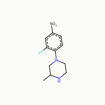 CC1CN(c2ccc([N+](=O)[O-])cc2F)CCN1